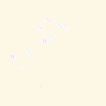 CC(C)(/C=C(/C#N)C(=O)N1CCC[C@H](n2c(=O)n(-c3ccc(Oc4ccccc4)cc3)c3c(N)ncnc32)C1)CO